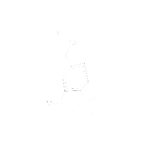 COc1cc(CNC=O)ccc1S(C)(=O)=O